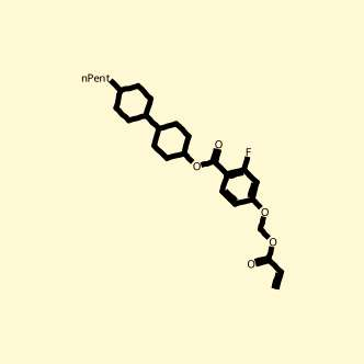 C=CC(=O)OCOc1ccc(C(=O)OC2CCC(C3CCC(CCCCC)CC3)CC2)c(F)c1